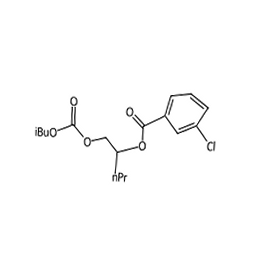 CCCC(COC(=O)OCC(C)C)OC(=O)c1cccc(Cl)c1